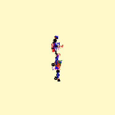 Cc1ncsc1-c1ccc([C@H](C)NC(=O)[C@@H]2C[C@@H](O)CN2C(=O)[C@@H](NC(=O)CCCCCCC(=O)N2CCN(CC[C@H](CSc3ccccc3)Nc3ccc(S(=O)(=O)NC(=O)c4ccc(N5CCN(CC6=C(C78CC(C)(C7)C8)CC(C)(C)CC6)CC5)cc4)cc3S(=O)(=O)C(F)(F)F)CC2)C(C)(C)C)cc1